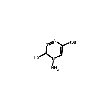 CC(C)(C)C1=CN(N)C(S)N=N1